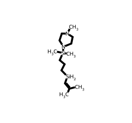 CC(C)=C[SiH2]CCC[Si](C)(C)N1CCN(C)CC1